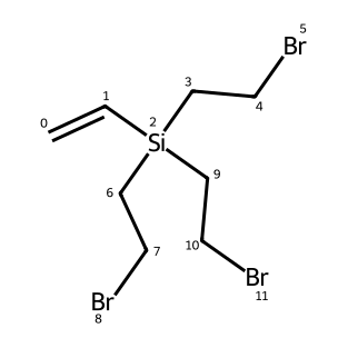 C=C[Si](CCBr)(CCBr)CCBr